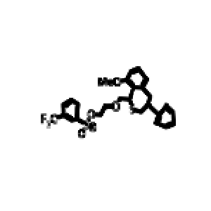 COc1cccc2c1C(COCCOS(=O)(=O)c1cccc(C(F)(F)F)c1)SCC(c1ccccc1)C2